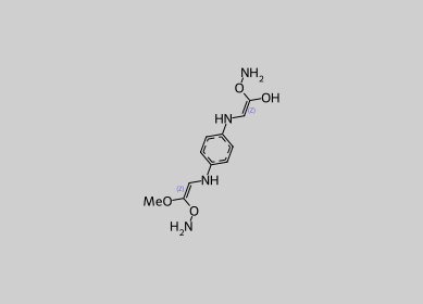 CO/C(=C/Nc1ccc(N/C=C(/O)ON)cc1)ON